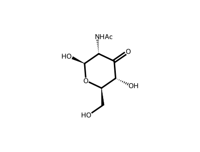 CC(=O)N[C@@H]1C(=O)[C@H](O)[C@@H](CO)O[C@H]1O